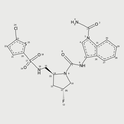 NC(=O)n1cc(NC(=O)N2C[C@H](F)C[C@H]2CNS(=O)(=O)c2ccc(Cl)s2)c2ccccc21